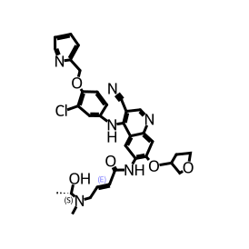 C[C@H](O)N(C)C/C=C/C(=O)Nc1cc2c(Nc3ccc(OCc4ccccn4)c(Cl)c3)c(C#N)cnc2cc1OC1CCOC1